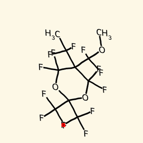 COC(F)(F)C1(C(C)(F)F)C(F)(F)OC(C(F)(F)F)(C(F)(F)F)OC1(F)F